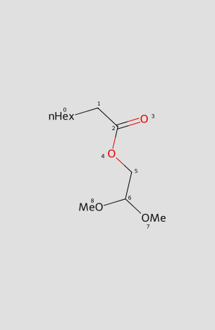 CCCCCCCC(=O)OCC(OC)OC